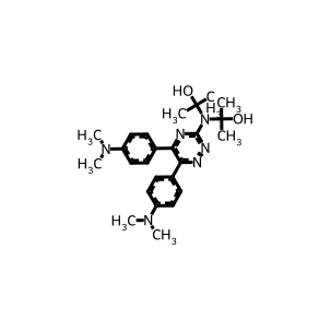 CN(C)c1ccc(-c2nnc(N(C(C)(C)O)C(C)(C)O)nc2-c2ccc(N(C)C)cc2)cc1